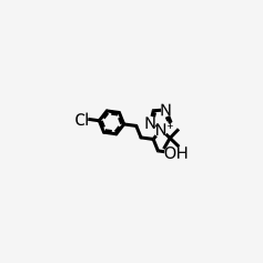 CC(C)(C)[N+]1(C(CO)CCc2ccc(Cl)cc2)C=NC=N1